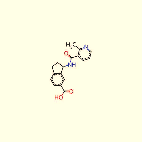 Cc1ncccc1C(=O)N[C@@H]1CCc2ccc(C(=O)O)cc21